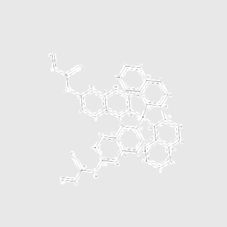 C=CC(=O)Oc1ccc2cc(C3(c4ccc5cc(OC(=O)C=C)ccc5c4)c4c(ccc5ccccc45)-c4ccc5ccccc5c43)ccc2c1